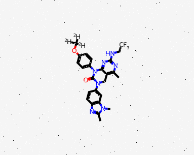 [2H]C([2H])([2H])Oc1ccc(N2C(=O)N(c3ccc4nc(C)n(C)c4c3)Cc3c(C)nc(NCC(F)(F)F)nc32)cc1